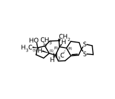 C=C1C[C@@]2(C)[C@@H](CC[C@]2(C)O)[C@@H]2CCC3=CC4(CC[C@]3(C)[C@@H]12)SCCS4